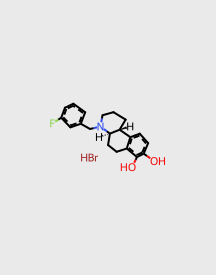 Br.Oc1ccc2c(c1O)CC[C@@H]1[C@@H]2CCCN1Cc1cccc(F)c1